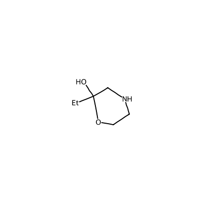 CCC1(O)CNCCO1